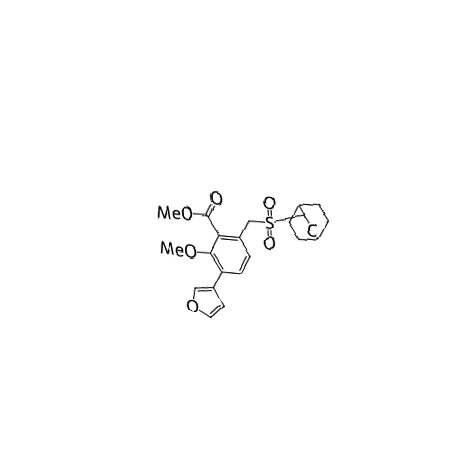 COC(=O)c1c(CS(=O)(=O)C2CC3CCC2CC3)ccc(-c2ccoc2)c1OC